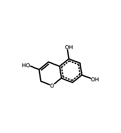 OC1=Cc2c(O)cc(O)cc2OC1